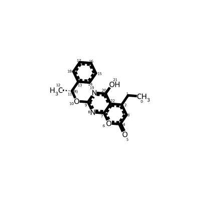 CCc1cc(=O)oc2nc(O[C@H](C)c3ccccc3)nc(O)c12